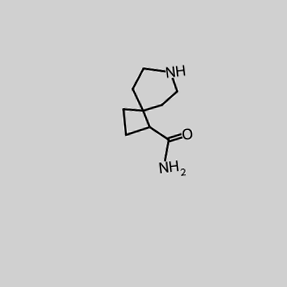 NC(=O)C1CCC12CCNCC2